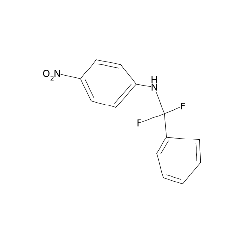 O=[N+]([O-])c1ccc(NC(F)(F)c2ccccc2)cc1